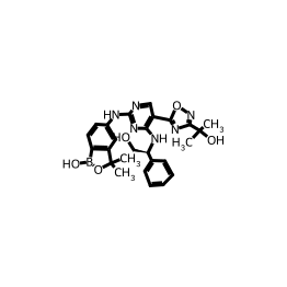 CC(C)(O)c1noc(-c2cnc(Nc3ccc4c(c3)C(C)(C)OB4O)nc2N[C@H](CO)c2ccccc2)n1